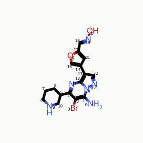 Nc1c(Br)c(C2CCCNC2)nc2c(-c3coc(C=NO)c3)cnn12